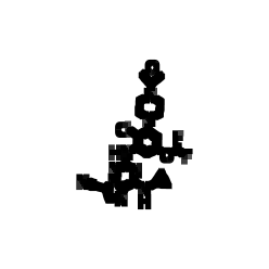 N#Cc1cnc2c(NC3CC3)nc(Nc3cc(OC(F)F)cc(N4CCN(C5COC5)CC4)c3Cl)nn12